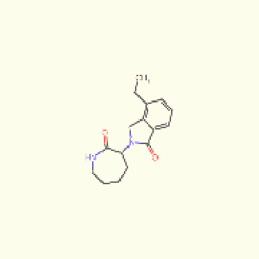 CCc1cccc2c1CN([C@H]1CCCCNC1=O)C2=O